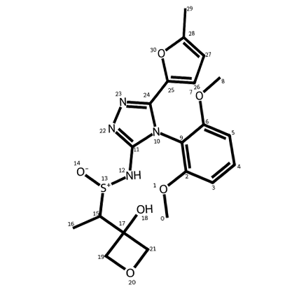 COc1cccc(OC)c1-n1c(N[S+]([O-])C(C)C2(O)COC2)nnc1-c1ccc(C)o1